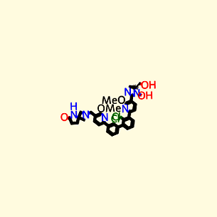 COc1nc(-c2cccc(-c3cccc(-c4ccc(C5=NC[C@@H](CO)N5O)c(OC)n4)c3Cl)c2Cl)ccc1CN1CC2(CCC(=O)N2)C1